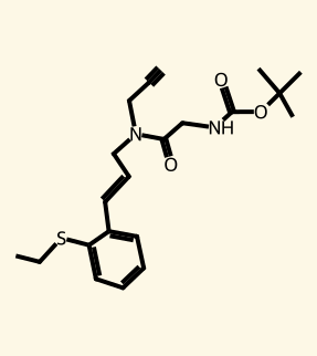 C#CCN(C/C=C/c1ccccc1SCC)C(=O)CNC(=O)OC(C)(C)C